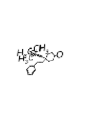 C[Si](C)(C)C#CC1(CCc2ccccc2)CCC(=O)CC1